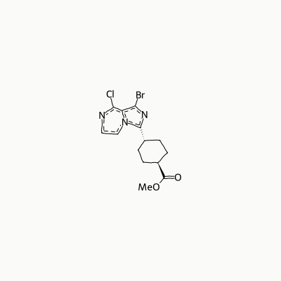 COC(=O)[C@H]1CC[C@H](c2nc(Br)c3c(Cl)nccn32)CC1